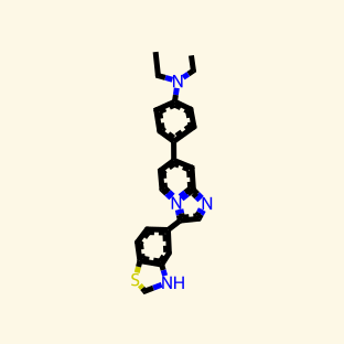 CCN(CC)c1ccc(-c2ccn3c(-c4ccc5c(c4)NCS5)cnc3c2)cc1